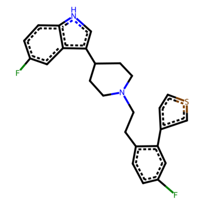 Fc1ccc(CCN2CCC(c3c[nH]c4ccc(F)cc34)CC2)c(-c2ccsc2)c1